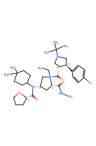 CC[N+]1(C(=O)[C@@H]2CN(C(C)(C)C)C[C@H]2c2ccc(Cl)cc2)C[C@@H](N(C(=O)[C@@H]2CCCO2)C2CCC(C)(C)CC2)C[C@H]1C(=O)NC